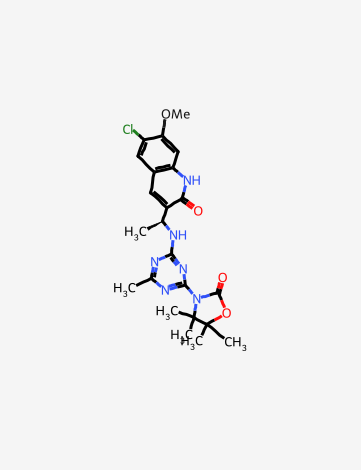 COc1cc2[nH]c(=O)c([C@H](C)Nc3nc(C)nc(N4C(=O)OC(C)(C)C4(C)C)n3)cc2cc1Cl